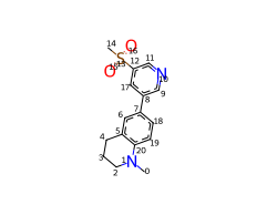 CN1CCCc2cc(-c3cncc(S(C)(=O)=O)c3)ccc21